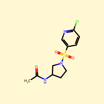 CC(=O)NC1CCN(S(=O)(=O)c2ccc(Cl)nc2)C1